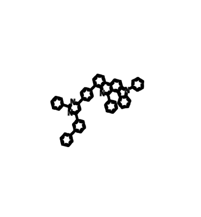 c1ccc(-c2cccc(-c3cc(-c4ccc(-c5cccc6c5nc(-c5ccccc5)c5c6ccc6c5c5ccccc5n6-c5ccccc5)cc4)nc(-c4ccccc4)n3)c2)cc1